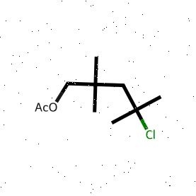 CC(=O)OCC(C)(C)CC(C)(C)Cl